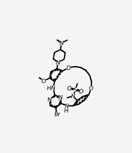 COc1cc(N2CCC(N(C)C)CC2)c2cc1Nc1ncc(Br)c(n1)Nc1ccc(cc1N(C)S(C)(=O)=O)OCCCCCO2